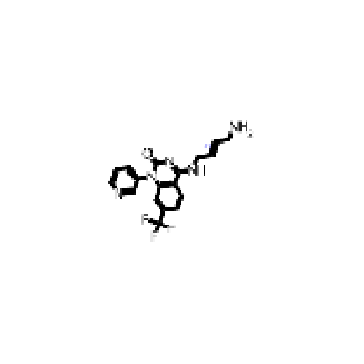 NC/C=C/CNc1nc(=O)n(-c2cccnc2)c2cc(C(F)(F)F)ccc12